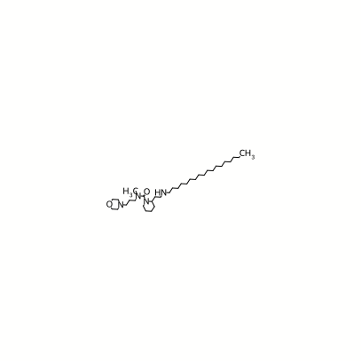 CCCCCCCCCCCCCCCCCCNCCC1CCCCN1C(=O)N(C)CCCN1CCOCC1